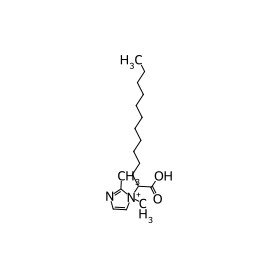 CCCCCCCCCCCC(C(=O)O)[N+]1(C)C=CN=C1C